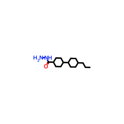 CCCC1CCC(C2CCC(C(=O)NN)CC2)CC1